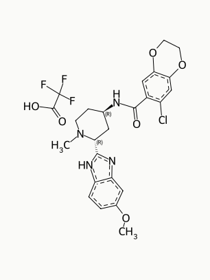 COc1ccc2[nH]c([C@H]3C[C@H](NC(=O)c4cc5c(cc4Cl)OCCO5)CCN3C)nc2c1.O=C(O)C(F)(F)F